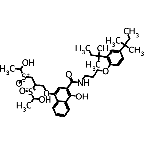 CCC(C)(C)c1ccc(OCCCNC(=O)c2cc(OCC(C[S+]([O-])C(C)O)[S+]([O-])C(C)O)c3ccccc3c2O)c(C(C)(C)CC)c1